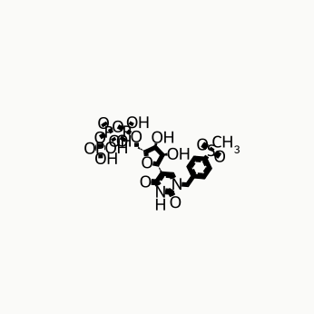 CS(=O)(=O)c1ccc(Cn2cc([C@@H]3O[C@H](COP(=O)(O)OP(=O)(O)OP(=O)(O)O)[C@@H](O)[C@H]3O)c(=O)[nH]c2=O)cc1